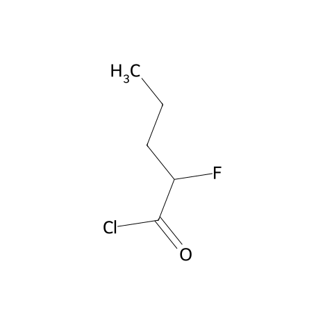 CCCC(F)C(=O)Cl